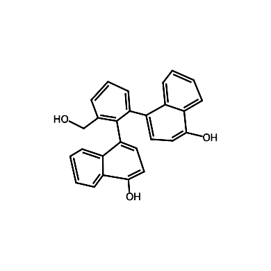 OCc1cccc(-c2ccc(O)c3ccccc23)c1-c1ccc(O)c2ccccc12